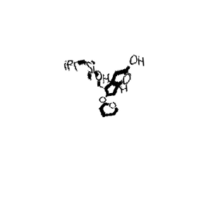 CC(C)C[Si](C)(C)OC[C@@H]1[C@H]2CC(O)O[C@H]2C[C@H]1OC1CCCCO1